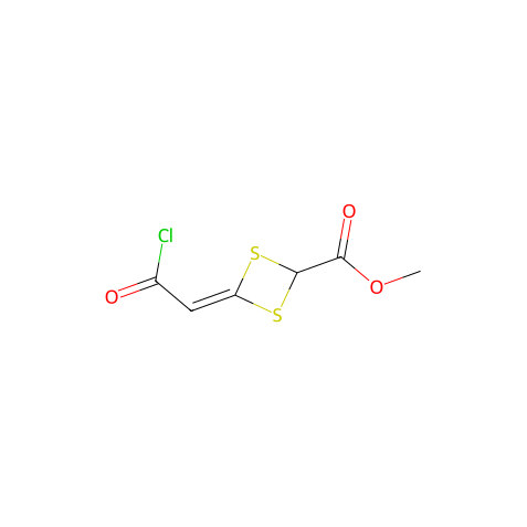 COC(=O)C1SC(=CC(=O)Cl)S1